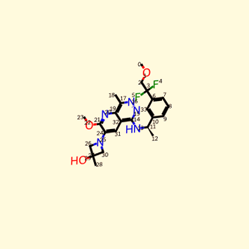 COCC(F)(F)c1cccc([C@@H](C)Nc2nnc(C)c3nc(OC)c(N4CC(C)(O)C4)cc23)c1